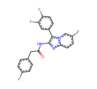 O=C(Cc1ccc(F)cc1)Nc1nc2ccc(F)cn2c1-c1ccc(F)c(F)c1